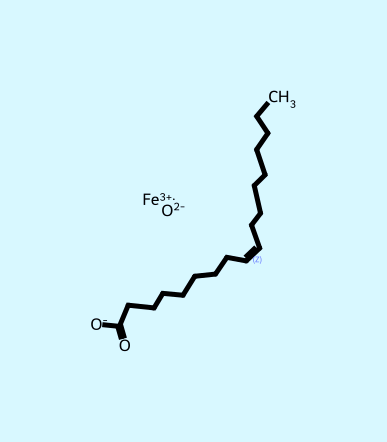 CCCCCCCC/C=C\CCCCCCCC(=O)[O-].[Fe+3].[O-2]